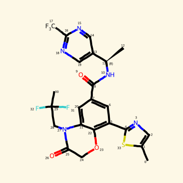 Cc1cnc(-c2cc(C(=O)N[C@H](C)c3cnc(C(F)(F)F)nc3)cc3c2OCC(=O)N3CC(C)(F)F)s1